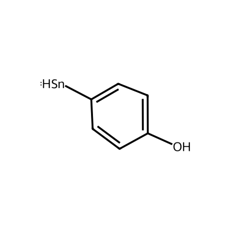 Oc1cc[c]([SnH])cc1